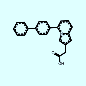 O=C(O)Cc1cc2cccc(-c3ccc(-c4ccccc4)cc3)n2c1